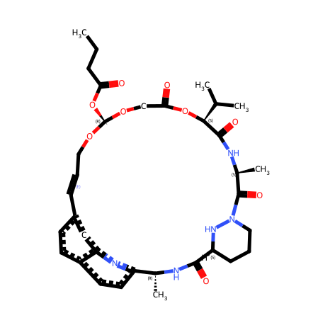 CCCC(=O)O[C@@H]1OC/C=C/c2ccc3ccc(nc3c2)[C@@H](C)NC(=O)[C@@H]2CCCN(N2)C(=O)[C@H](C)NC(=O)[C@H](C(C)C)OC(=O)CO1